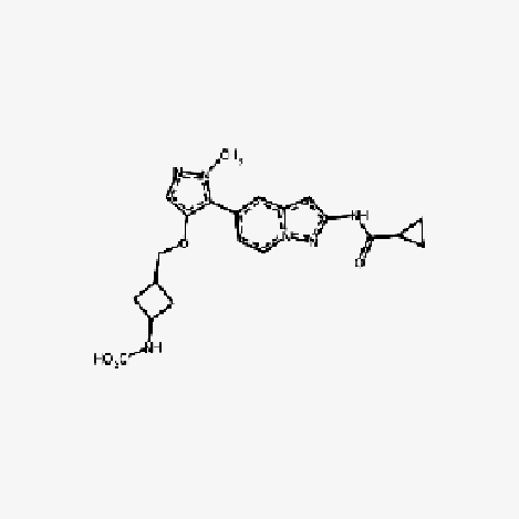 Cn1ncc(OCC2CC(NC(=O)O)C2)c1-c1ccn2nc(NC(=O)C3CC3)cc2c1